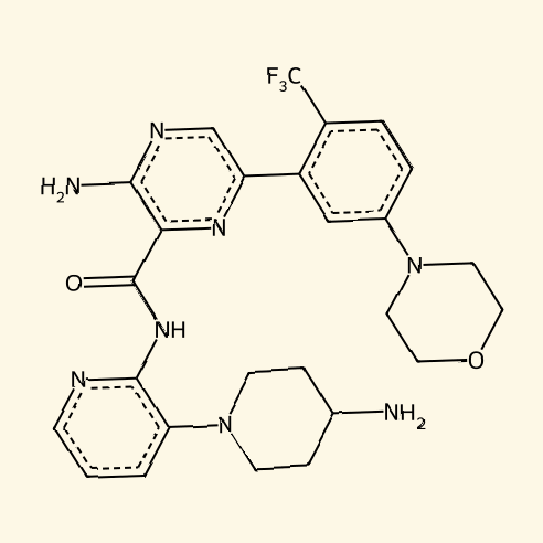 Nc1ncc(-c2cc(N3CCOCC3)ccc2C(F)(F)F)nc1C(=O)Nc1ncccc1N1CCC(N)CC1